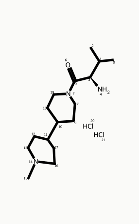 CC(C)[C@@H](N)C(=O)N1CCC(C2CCN(C)CC2)CC1.Cl.Cl